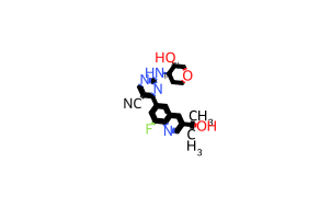 CC(C)(O)c1cnc2c(F)cc(-c3nc(N[C@@H]4CCOC[C@H]4O)ncc3C#N)cc2c1